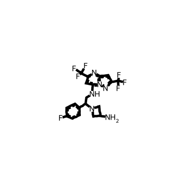 NC1CN(C(CNc2cc(C(F)(F)F)nc3cc(C(F)(F)F)nn23)c2ccc(F)cc2)C1